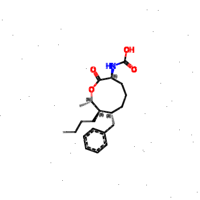 CCCC[C@@H]1[C@@H](Cc2ccccc2)CCC[C@H](NC(=O)O)C(=O)O[C@H]1C